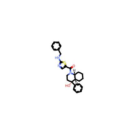 O=C(c1cnc(NCc2ccccc2)s1)N1CC[C@](O)(c2ccccc2)[C@H]2CCCC[C@H]21